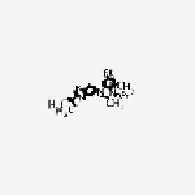 C=C/C(=C\C)c1cnc2ccc(N(CC(=C)NCCC)c3cc(C)cc(CC)c3)cc2n1